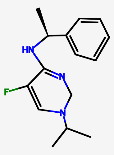 CC(C)N1C=C(F)C(N[C@@H](C)c2ccccc2)=NC1